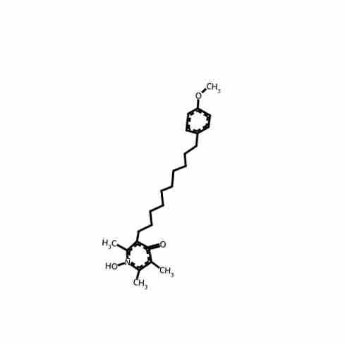 COc1ccc(CCCCCCCCCCc2c(C)n(O)c(C)c(C)c2=O)cc1